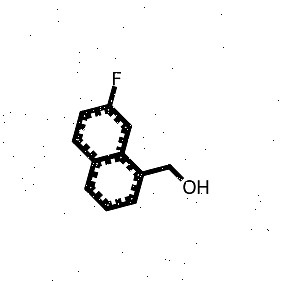 OCc1cccc2ccc(F)cc12